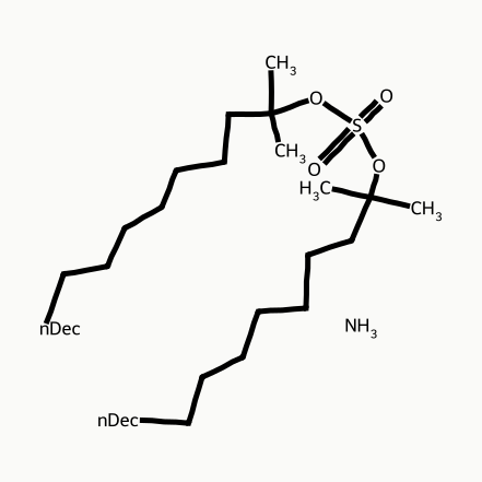 CCCCCCCCCCCCCCCCCC(C)(C)OS(=O)(=O)OC(C)(C)CCCCCCCCCCCCCCCCC.N